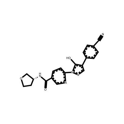 N#Cc1ccc(-c2cnn(-c3ccc(C(=O)N[C@@H]4CCOC4)cn3)c2O)cc1